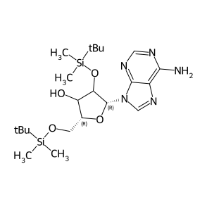 CC(C)(C)[Si](C)(C)OC[C@H]1O[C@@H](n2cnc3c(N)ncnc32)C(O[Si](C)(C)C(C)(C)C)C1O